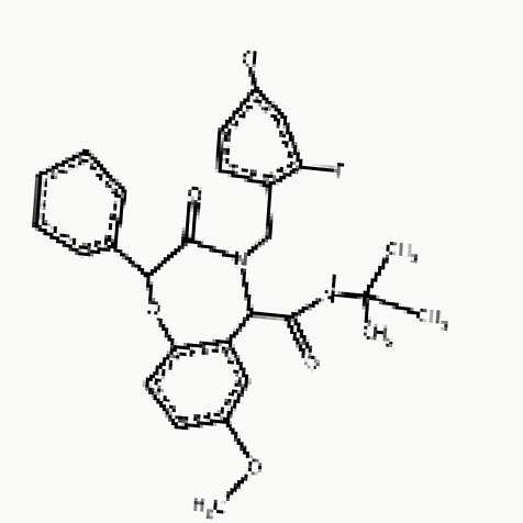 COc1ccc2c(c1)C(C(=O)NC(C)(C)C)N(Cc1ccc(Cl)cc1F)C(=O)C(c1ccccc1)O2